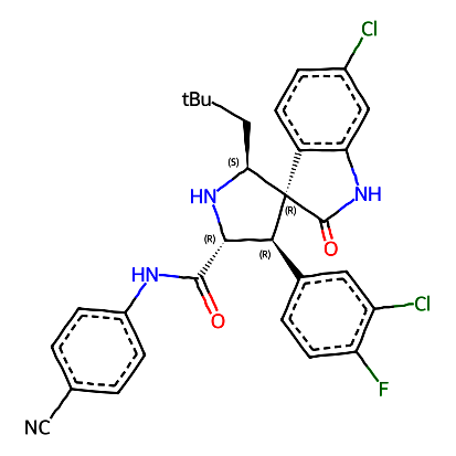 CC(C)(C)C[C@@H]1N[C@@H](C(=O)Nc2ccc(C#N)cc2)[C@H](c2ccc(F)c(Cl)c2)[C@]12C(=O)Nc1cc(Cl)ccc12